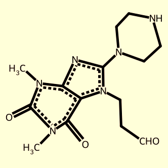 Cn1c(=O)c2c(nc(N3CCNCC3)n2CCC=O)n(C)c1=O